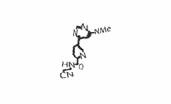 CNc1cc(-c2ccc(C(=O)NCCC#N)nc2)ncn1